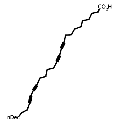 CCCCCCCCCCCCC#CC#CCCCCC#CC#CCCCCCCCCC(=O)O